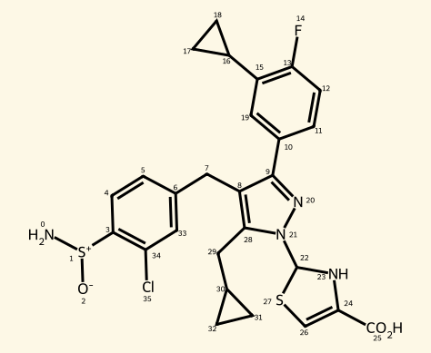 N[S+]([O-])c1ccc(Cc2c(-c3ccc(F)c(C4CC4)c3)nn(C3NC(C(=O)O)=CS3)c2CC2CC2)cc1Cl